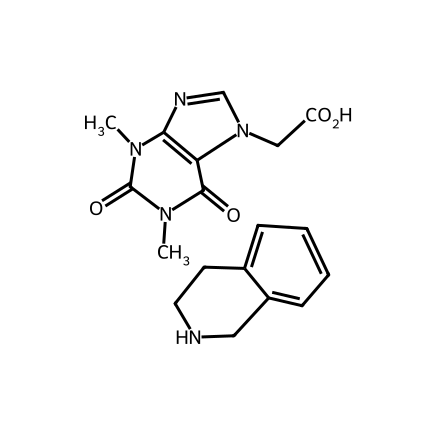 Cn1c(=O)c2c(ncn2CC(=O)O)n(C)c1=O.c1ccc2c(c1)CCNC2